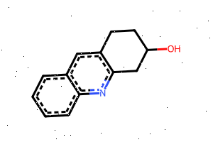 OC1CCc2cc3ccccc3nc2C1